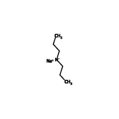 CCC[N-]CCC.[Na+]